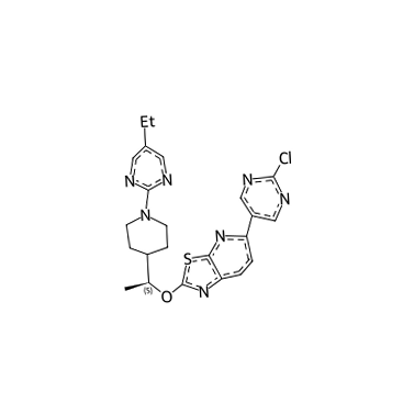 CCc1cnc(N2CCC([C@H](C)Oc3nc4ccc(-c5cnc(Cl)nc5)nc4s3)CC2)nc1